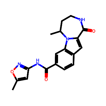 Cc1cc(NC(=O)c2ccc3cc4n(c3c2)C(C)CCNC4=O)no1